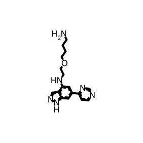 NCCCCOCCNc1cc(-c2ccncn2)cc2[nH]ncc12